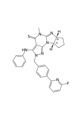 CN1C(=S)c2c(nn(Cc3ccc(-c4cccc(F)n4)cc3)c2Nc2ccccc2)N2C1=N[C@@H]1CCC[C@@H]12